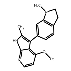 CCOc1ccnc2[nH]c(C)c(-c3ccc4c(c3)N(C)CC4)c12